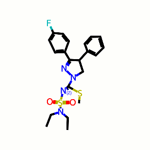 CCN(CC)S(=O)(=O)/N=C(\SC)N1CC(c2ccccc2)C(c2ccc(F)cc2)=N1